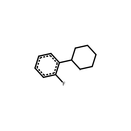 Fc1ccccc1C1[CH]CCCC1